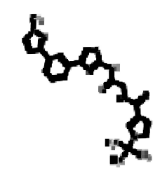 Cn1ccc(-c2cccc(-c3csc(NC(=O)CNC(=O)c4ccn(C(C)(C)C)c4)n3)c2)n1